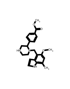 COC(=O)c1ccc(C2CNCCN2Cc2c(OC)cc(C)c3[nH]ccc23)cc1